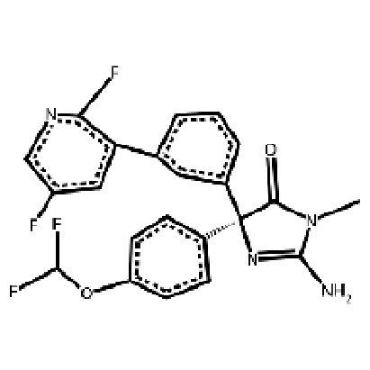 CN1C(=O)[C@](c2ccc(OC(F)F)cc2)(c2cccc(-c3cc(F)cnc3F)c2)N=C1N